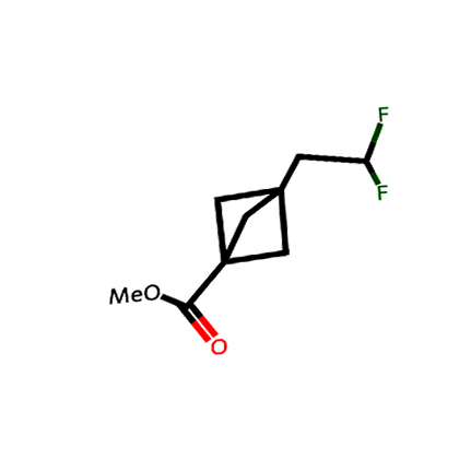 COC(=O)C12CC(CC(F)F)(C1)C2